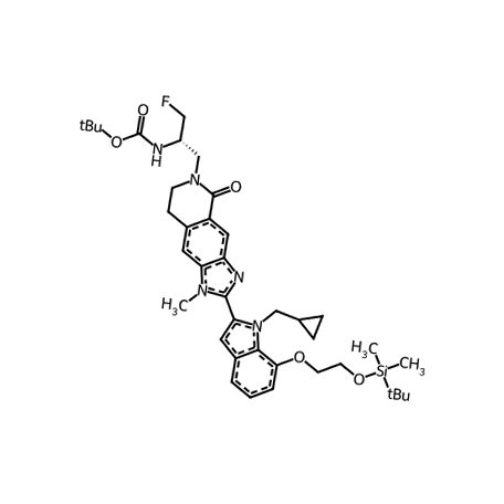 Cn1c(-c2cc3cccc(OCCO[Si](C)(C)C(C)(C)C)c3n2CC2CC2)nc2cc3c(cc21)CCN(C[C@@H](CF)NC(=O)OC(C)(C)C)C3=O